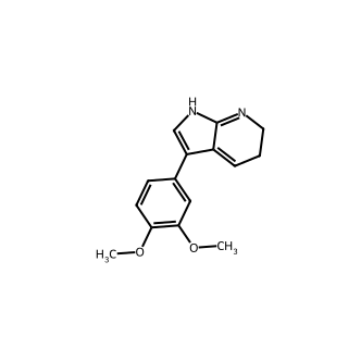 COc1ccc(-c2c[nH]c3c2=CCCN=3)cc1OC